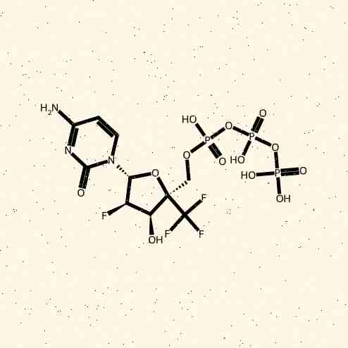 Nc1ccn([C@@H]2O[C@@](COP(=O)(O)OP(=O)(O)OP(=O)(O)O)(C(F)(F)F)[C@@H](O)[C@H]2F)c(=O)n1